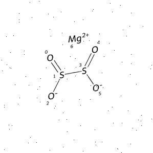 O=S([O-])S(=O)[O-].[Mg+2]